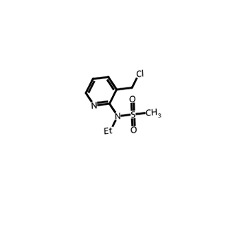 CCN(c1ncccc1CCl)S(C)(=O)=O